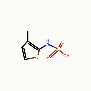 [CH2]c1ccsc1NS(=O)(=O)O